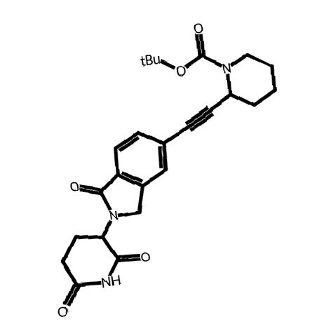 CC(C)(C)OC(=O)N1CCCCC1C#Cc1ccc2c(c1)CN(C1CCC(=O)NC1=O)C2=O